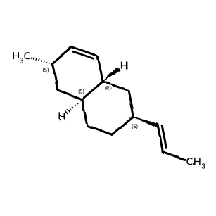 CC=C[C@H]1CC[C@H]2C[C@H](C)C=C[C@@H]2C1